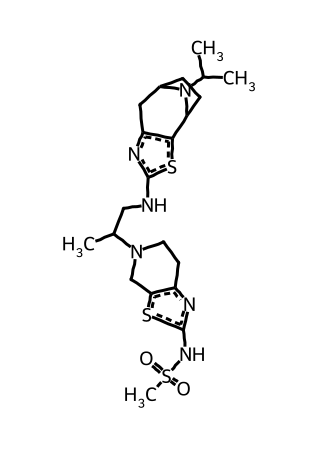 CC(CNc1nc2c(s1)C1CCC(C2)N1C(C)C)N1CCc2nc(NS(C)(=O)=O)sc2C1